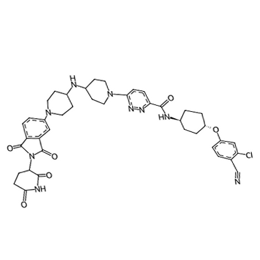 N#Cc1ccc(O[C@H]2CC[C@H](NC(=O)c3ccc(N4CCC(NC5CCN(c6ccc7c(c6)C(=O)N(C6CCC(=O)NC6=O)C7=O)CC5)CC4)nn3)CC2)cc1Cl